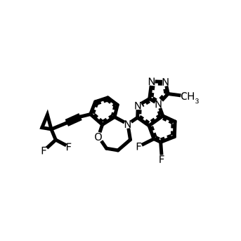 Cc1nnc2nc(N3CCCOc4c(C#CC5(C(F)F)CC5)cccc43)c3c(F)c(F)ccc3n12